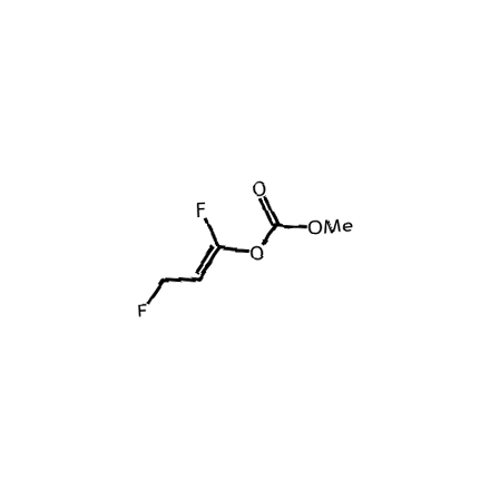 COC(=O)OC(F)=CCF